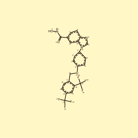 O=C(NO)c1ccc2ncn(-c3ccc(OCc4ccc(C(F)(F)F)cc4C(F)(F)F)cc3)c2c1